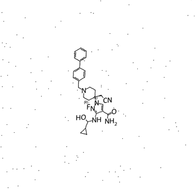 N#CC[C@]1(n2cc(C(N)=O)c(NC(O)C3CC3)n2)CCN(Cc2ccc(-c3ccccc3)cc2)C[C@H]1F